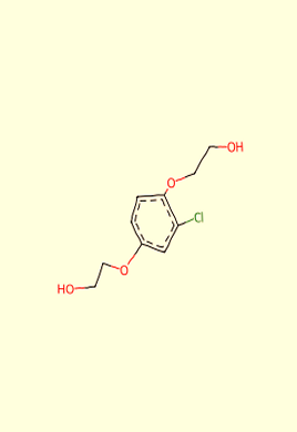 OCCOc1ccc(OCCO)c(Cl)c1